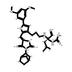 COc1cc(OC)cc(-c2cc(CCCN[C@@](C=O)(CC(C)C)NC(=O)O)c(/C=C3\SC(=S)N(C4CC5CCC4C5)C3=O)o2)c1